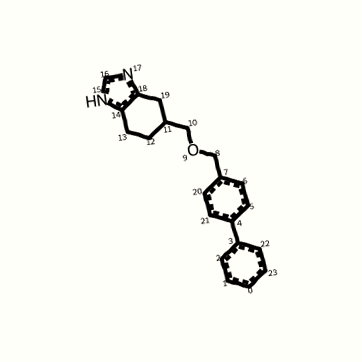 c1ccc(-c2ccc(COCC3CCc4[nH]cnc4C3)cc2)cc1